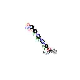 CC1(C)OB(c2ccc(N3CCN([C@@H]4CCN(c5ccc(C6CCC(=O)NC6=O)cc5F)CC4(F)F)CC3)c(F)c2F)OC1(C)C